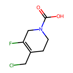 O=C(O)N1CCC(CCl)=C(F)C1